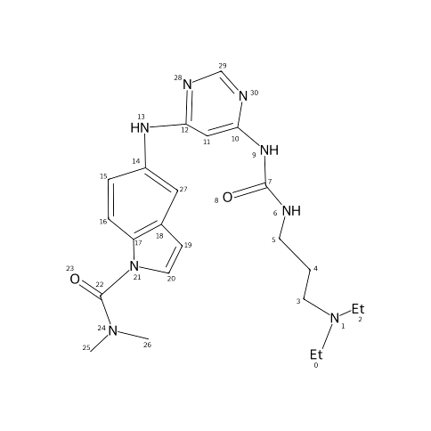 CCN(CC)CCCNC(=O)Nc1cc(Nc2ccc3c(ccn3C(=O)N(C)C)c2)ncn1